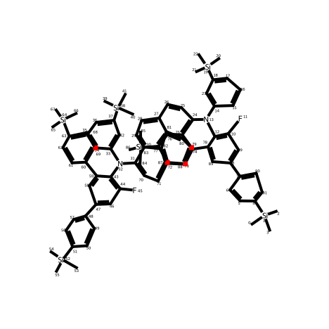 C[Si](C)(C)c1ccc(-c2cc(F)c(N(c3cccc([Si](C)(C)C)c3)c3ccc4ccc5c(N(c6cccc([Si](C)(C)C)c6)c6c(F)cc(-c7ccc([Si](C)(C)C)cc7)cc6-c6ccc([Si](C)(C)C)cc6)ccc6ccc3c4c65)c(-c3ccc([Si](C)(C)C)cc3)c2)cc1